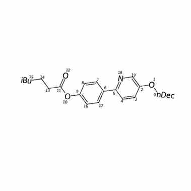 CCCCCCCCCCOc1ccc(-c2ccc(OC(=O)CCC(C)CC)cc2)nc1